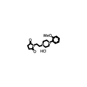 COc1ccccc1N1CCN(CCN2C(=O)CCC2=O)CC1.Cl